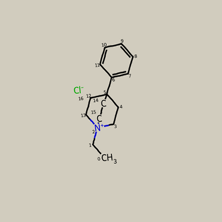 CC[N+]12CCC(c3ccccc3)(CC1)CC2.[Cl-]